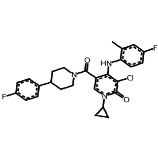 Cc1cc(F)ccc1Nc1c(C(=O)N2CCC(c3ccc(F)cc3)CC2)cn(C2CC2)c(=O)c1Cl